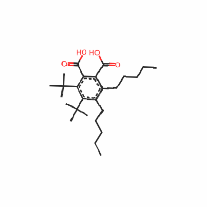 CCCCCc1c(CCCCC)c(C(C)(C)C)c(C(C)(C)C)c(C(=O)O)c1C(=O)O